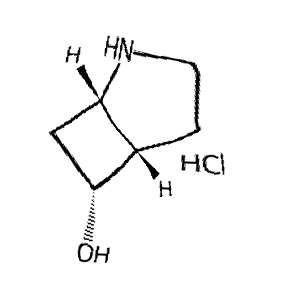 Cl.O[C@@H]1C[C@@H]2NCC[C@H]12